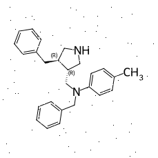 Cc1ccc(N(Cc2ccccc2)C[C@H]2CNC[C@@H]2Cc2ccccc2)cc1